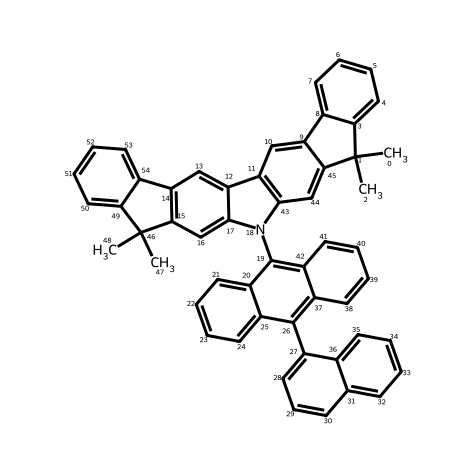 CC1(C)c2ccccc2-c2cc3c4cc5c(cc4n(-c4c6ccccc6c(-c6cccc7ccccc67)c6ccccc46)c3cc21)C(C)(C)c1ccccc1-5